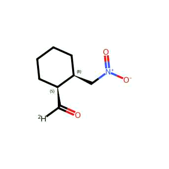 [2H]C(=O)[C@H]1CCCC[C@H]1C[N+](=O)[O-]